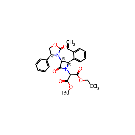 C=Cc1ccccc1[C@@H]1[C@H](N2C(=O)OC[C@@H]2c2ccccc2)C(=O)N1C(C(=O)OCC(Cl)(Cl)Cl)C(=O)OC(C)(C)C